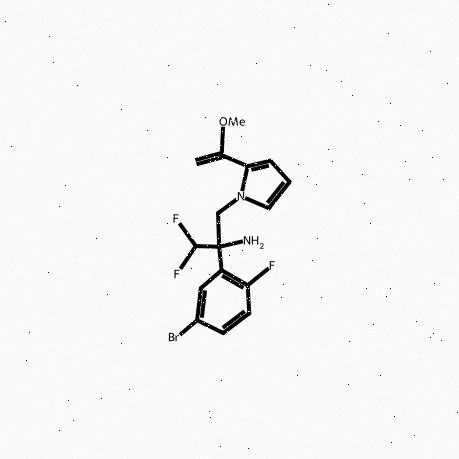 C=C(OC)c1cccn1CC(N)(c1cc(Br)ccc1F)C(F)F